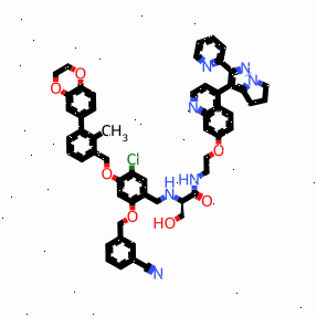 Cc1c(COc2cc(OCc3cccc(C#N)c3)c(CN[C@H](CO)C(=O)NCCOc3ccc4c(-c5c(-c6ccccn6)nn6c5CCC6)ccnc4c3)cc2Cl)cccc1-c1ccc2c(c1)OCCO2